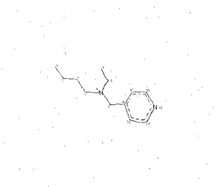 CCCCN(CC)Cc1ccncc1